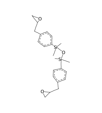 C[Si](C)(O[Si](C)(C)c1ccc(CC2CO2)cc1)c1ccc(CC2CO2)cc1